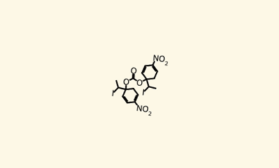 CC(I)C1(OC(=O)OC2(C(C)I)C=CC([N+](=O)[O-])=CC2)C=CC([N+](=O)[O-])=CC1